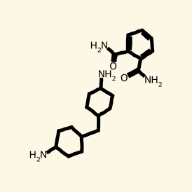 NC(=O)c1ccccc1C(N)=O.NC1CCC(CC2CCC(N)CC2)CC1